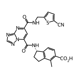 Cc1c(C(=O)O)ccc2c1CC[C@@H]2NC(=O)c1cc(C(=O)NCc2ccc(C#N)s2)nc2ncnn12